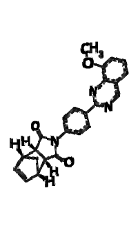 COc1cccc2cnc(-c3ccc(N4C(=O)[C@@H]5[C@H](C4=O)[C@@H]4C=C[C@H]5C4)cc3)nc12